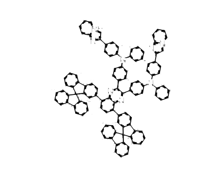 c1ccc(N(c2ccc(-c3cn4ccccc4n3)cc2)c2ccc(-c3nc4c(-c5ccc6c(c5)C5(c7ccccc7-c7ccccc75)c5ccccc5-6)ccc(-c5ccc6c(c5)C5(c7ccccc7-c7ccccc75)c5ccccc5-6)c4nc3-c3ccc(N(c4ccccc4)c4ccc(-c5cn6ccccc6n5)cc4)cc3)cc2)cc1